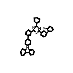 c1ccc(-c2nc(-c3cccc(-c4ccc(-n5c6ccccc6c6ccccc65)cc4)c3)nc(-c3cccc4c3sc3ccccc34)n2)cc1